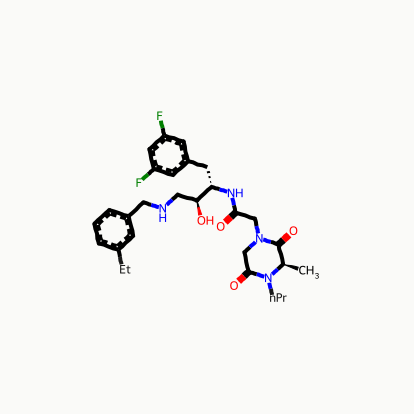 CCCN1C(=O)CN(CC(=O)N[C@@H](Cc2cc(F)cc(F)c2)[C@@H](O)CNCc2cccc(CC)c2)C(=O)[C@H]1C